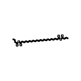 CCCC(=O)OC(=O)CCCCCCCCCCCCCCCCCCCCC(=O)OC(=O)CCC